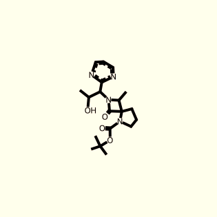 CC(O)C(c1ncccn1)N1C(=O)C2(CCCN2C(=O)OC(C)(C)C)C1C